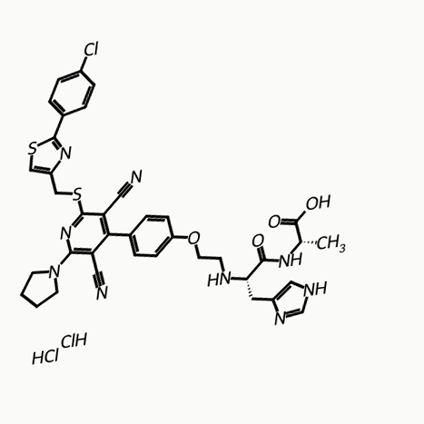 C[C@H](NC(=O)[C@H](Cc1c[nH]cn1)NCCOc1ccc(-c2c(C#N)c(SCc3csc(-c4ccc(Cl)cc4)n3)nc(N3CCCC3)c2C#N)cc1)C(=O)O.Cl.Cl